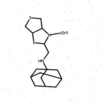 CCCCCCCCN1C(CNC23CC4CC(CC(C4)C2)C3)SC2CSCC21